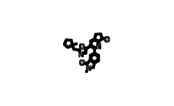 CN1Cc2ccc(-c3nc4c(cc3-c3cnc(CC5(C)CCCC5)o3)CCC4=O)cc2C1=O